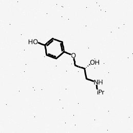 CC(C)NC[C@@H](O)COc1ccc(O)cc1